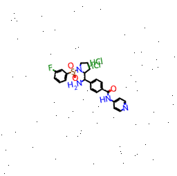 Cl.Cl.NC(c1ccc(C(=O)Nc2ccncc2)cc1)C1CCCN1S(=O)(=O)c1cccc(F)c1